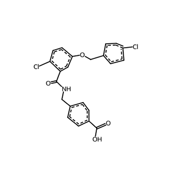 O=C(O)c1ccc(CNC(=O)c2cc(OCc3ccc(Cl)cc3)ccc2Cl)cc1